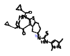 Cc1cc(NC(=S)/N=C2\CCc3sc(NC(=O)C4CC4)c(C(=O)NCC4CC4)c3C2)n(C)n1